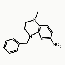 CN1CCN(Cc2ccccc2)c2cc([N+](=O)[O-])ccc21